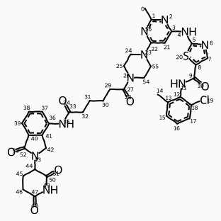 Cc1nc(Nc2ncc(C(=O)Nc3c(C)cccc3Cl)s2)cc(N2CCN(C(=O)CCCCC(=O)Nc3cccc4c3CN(C3CCC(=O)NC3=O)C4=O)CC2)n1